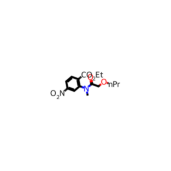 CCCOCC(=O)N(C)c1cc([N+](=O)[O-])ccc1C(=O)OCC